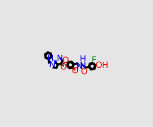 COc1cc(O[C@H](C(N)=O)C2CCN(Cc3ccccc3)C2)ccc1/C=N/NC(=O)c1ccc(O)c(F)c1